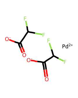 O=C([O-])C(F)F.O=C([O-])C(F)F.[Pd+2]